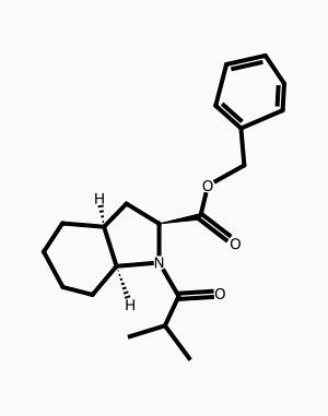 CC(C)C(=O)N1[C@H](C(=O)OCc2ccccc2)C[C@@H]2CCCC[C@@H]21